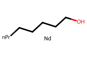 CCCCCCCCO.[Nd]